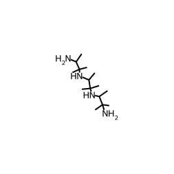 CC(NC(C)(C)C(C)NC(C)(C)C(C)N)C(C)(C)N